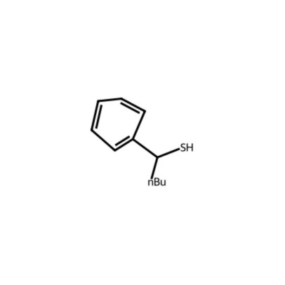 C[CH]CCC(S)c1ccccc1